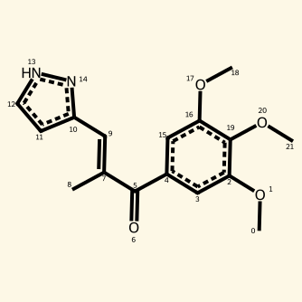 COc1cc(C(=O)C(C)=Cc2cc[nH]n2)cc(OC)c1OC